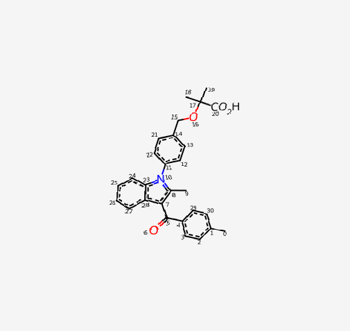 Cc1ccc(C(=O)c2c(C)n(-c3ccc(COC(C)(C)C(=O)O)cc3)c3ccccc23)cc1